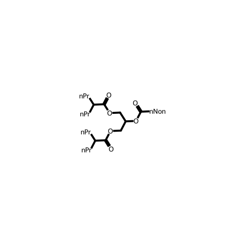 CCCCCCCCCC(=O)OC(COC(=O)C(CCC)CCC)COC(=O)C(CCC)CCC